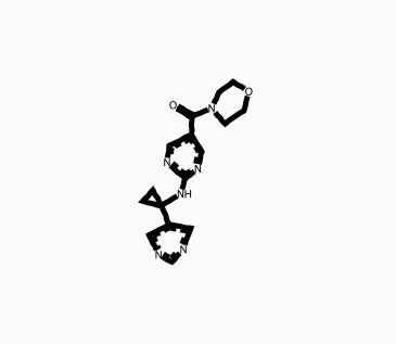 O=C(c1cnc(NC2(c3cncnc3)CC2)nc1)N1CCOCC1